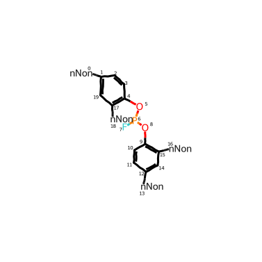 CCCCCCCCCc1ccc(OP(F)Oc2ccc(CCCCCCCCC)cc2CCCCCCCCC)c(CCCCCCCCC)c1